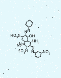 Nc1c(N=Nc2cccc([N+](=O)[O-])c2)c(S(=O)(=O)O)cc2cc(S(=O)(=O)O)c(N=Nc3ccccc3)c(O)c12.[Na].[Na]